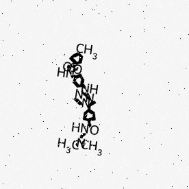 Cc1ccc(S(=O)(=O)Nc2ccc(Nc3nccn4c(-c5ccc(C(=O)NCCN(C)C)cc5)cnc34)cc2)cc1